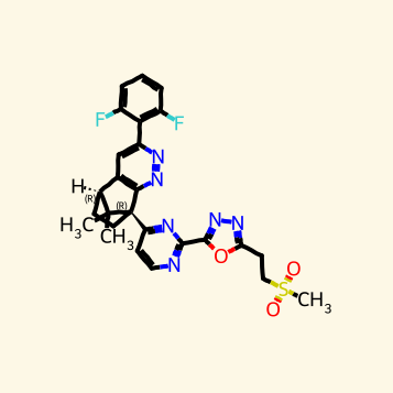 CC1(C)[C@H]2CC[C@@]1(c1ccnc(-c3nnc(CCS(C)(=O)=O)o3)n1)c1nnc(-c3c(F)cccc3F)cc12